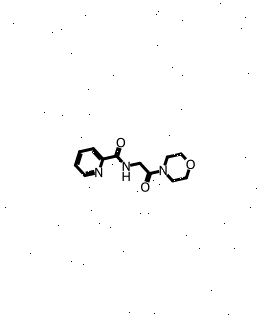 O=C(NCC(=O)N1CCOCC1)c1ccccn1